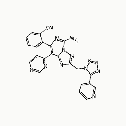 N#Cc1ccccc1-c1nc(N)n2nc(Cn3nnnc3-c3cccnc3)nc2c1-c1ccncn1